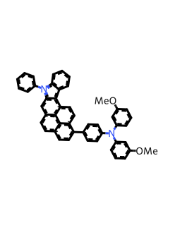 COc1cccc(N(c2ccc(-c3ccc4ccc5cc6c(c7ccc3c4c57)c3ccccc3n6-c3ccccc3)cc2)c2cccc(OC)c2)c1